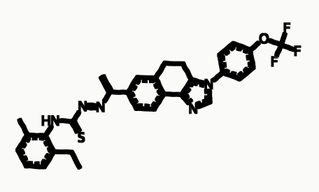 C=C(N=NC(=S)Nc1c(C)cccc1CC)c1ccc2c(c1)CCc1c-2ncn1-c1ccc(OC(F)(F)F)cc1